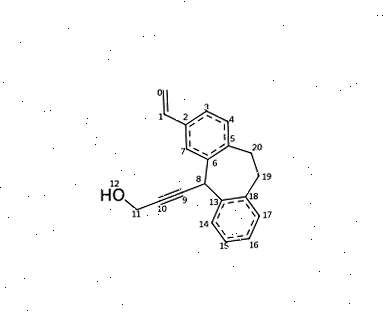 C=Cc1ccc2c(c1)C(C#CCO)c1ccccc1CC2